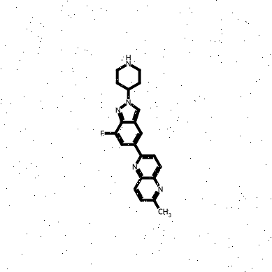 Cc1ccc2nc(-c3cc(F)c4nn(C5CCNCC5)cc4c3)ccc2n1